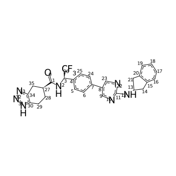 O=C(N[C@H](c1ccc(-c2cnc(NC3Cc4ccccc4C3)nc2)cc1)C(F)(F)F)[C@H]1CCc2[nH]nnc2C1